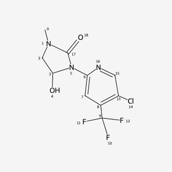 CN1CC(O)N(c2cc(C(F)(F)F)c(Cl)cn2)C1=O